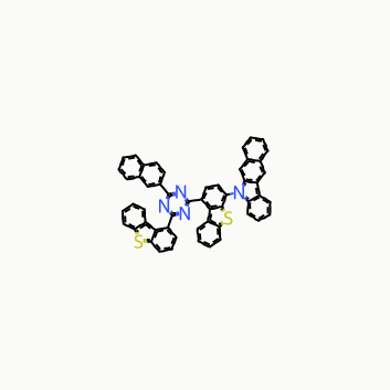 c1ccc2cc(-c3nc(-c4cccc5sc6ccccc6c45)nc(-c4ccc(-n5c6ccccc6c6cc7ccccc7cc65)c5sc6ccccc6c45)n3)ccc2c1